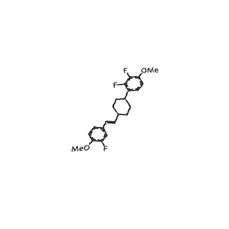 COc1ccc(/C=C/C2CCC(c3ccc(OC)c(F)c3F)CC2)cc1F